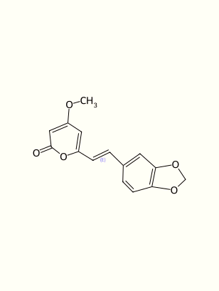 COc1cc(/C=C/c2ccc3c(c2)OCO3)oc(=O)c1